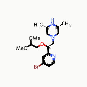 COC(CO[C@@H](CN1C[C@@H](C)N[C@@H](C)C1)c1cc(Br)ccn1)OC